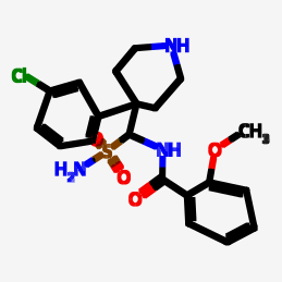 COc1ccccc1C(=O)NC(C1(c2cccc(Cl)c2)CCNCC1)S(N)(=O)=O